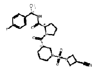 C[C@H](NC(=O)[C@H]1CCCN1C(=O)[C@H]1CCCN(S(=O)(=O)N2CC(C#N)C2)C1)c1ccc(F)cc1